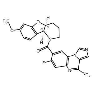 Nc1nc2cc(F)c(C(=O)N3CCC[C@@H]4Oc5cc(OC(F)(F)F)ccc5[C@@H]43)cc2n2cncc12